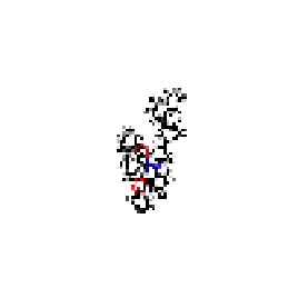 c1cc(-c2ccc(N(c3cccc4c3oc3ccccc34)c3cccc4c3oc3ccccc34)cc2)cc(-c2cccc3ccccc23)c1